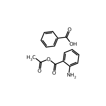 CC(=O)OC(=O)c1ccccc1N.O=C(O)c1ccccc1